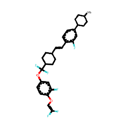 CCCC1CCC(c2ccc(/C=C/C3CCC(C(F)(F)Oc4ccc(OC=C(F)F)c(F)c4)CC3)c(F)c2)CC1